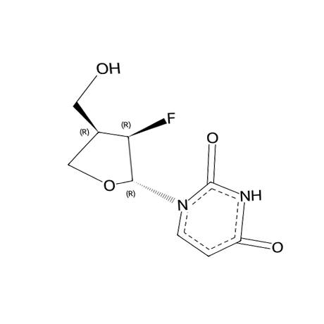 O=c1ccn([C@@H]2OC[C@@H](CO)[C@H]2F)c(=O)[nH]1